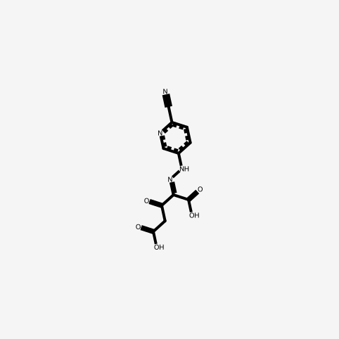 N#Cc1ccc(NN=C(C(=O)O)C(=O)CC(=O)O)cn1